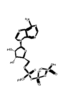 Nc1ncnc2c1ncn2[C@H]1O[C@@H](COP(=O)(O)OP(=O)(O)OP(=O)(O)O)[C@H](O)[C@@H]1O